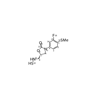 CSc1ccc(N2C[C@@H](CNS)OC2=O)cc1F